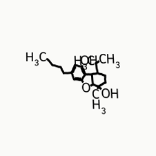 CCCCCc1cc(O)c2c(c1)OC1C2C(C(C)C)CCC1(C)O